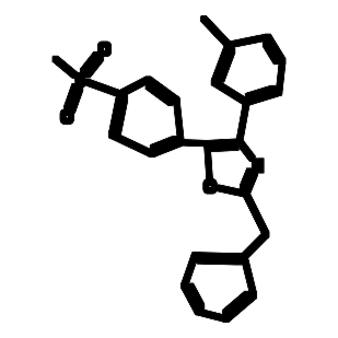 Cc1cccc(-c2nc(Cc3ccccc3)oc2-c2ccc(S(C)(=O)=O)cc2)c1